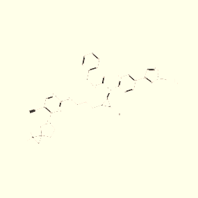 C#Cc1cnc(NCCCC2/C(=[N+](\C(=O)NCc3ccccc3)c3ccc(-c4cnn(C)c4)cn3)C2CCC)nc1N1CCC2(C1)CC2(F)F